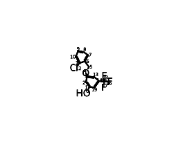 Oc1cc(OCc2ccccc2Cl)cc(C(F)(F)F)c1